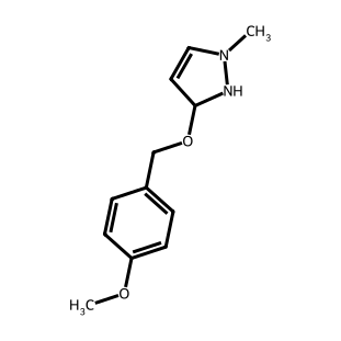 COc1ccc(COC2C=CN(C)N2)cc1